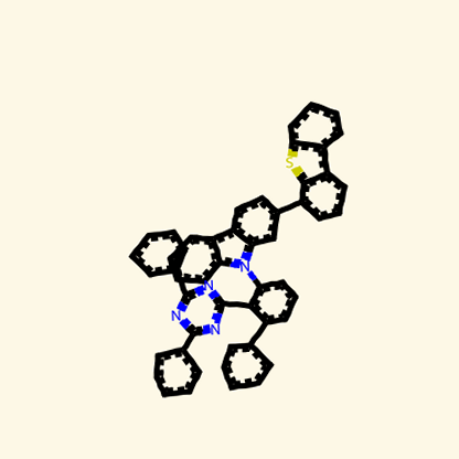 c1ccc(-c2nc(-c3ccccc3)nc(-c3c(-c4ccccc4)cccc3-n3c4ccccc4c4ccc(-c5cccc6c5sc5ccccc56)cc43)n2)cc1